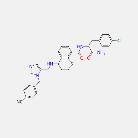 N#Cc1ccc(Cn2cncc2CNC2CCSc3c(C(=O)NC(Cc4ccc(Cl)cc4)C(N)=O)cccc32)cc1